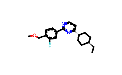 CC[C@H]1CC[C@H](c2ccnc(-c3ccc(COC)c(F)c3)n2)CC1